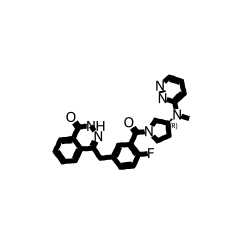 CN(c1cccnn1)[C@@H]1CCN(C(=O)c2cc(Cc3n[nH]c(=O)c4ccccc34)ccc2F)C1